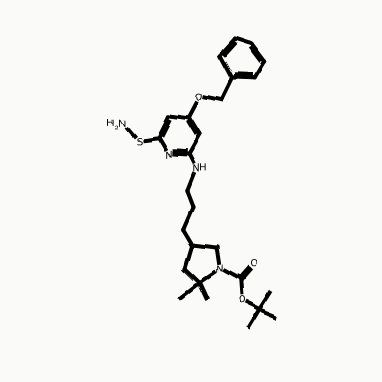 CC(C)(C)OC(=O)N1CC(CCCNc2cc(OCc3ccccc3)cc(SN)n2)CC1(C)C